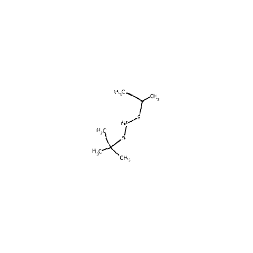 CC(C)SPSC(C)(C)C